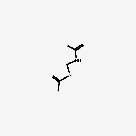 C=C(C)NCNC(=C)C